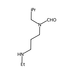 CCNCCCN(C=O)CC(C)C